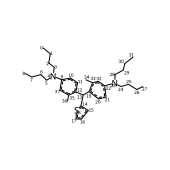 CCCCN(CCCC)c1ccc(C(c2cccs2)c2ccc(N(CCCC)CCCC)cc2C)c(C)c1